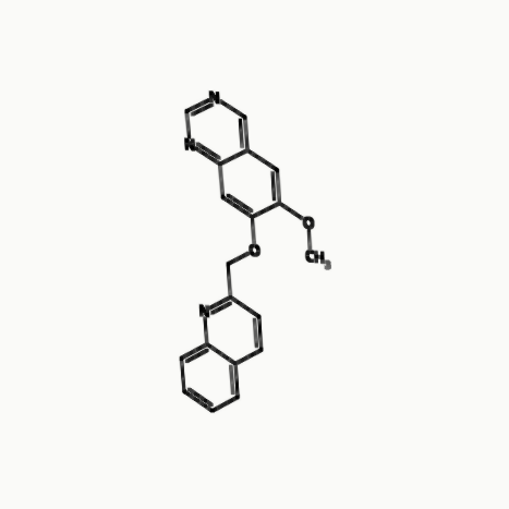 COc1cc2cncnc2cc1OCc1ccc2ccccc2n1